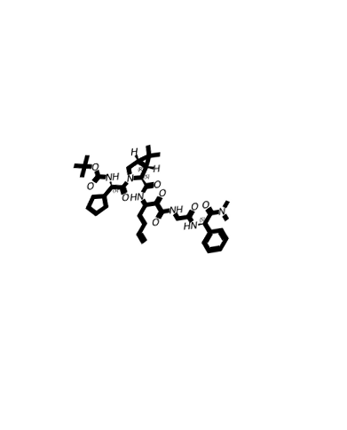 C=CCCC(NC(=O)[C@@H]1[C@@H]2[C@H](CN1C(=O)[C@@H](NC(=O)OC(C)(C)C)C1CCCC1)C2(C)C)C(=O)C(=O)NCC(=O)N[C@H](C(=O)N(C)C)c1ccccc1